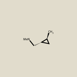 CNC[C@H]1C[C@@H]1C